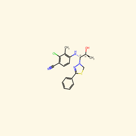 Cc1c(N[C@H]([C@H](C)O)N2CSC(c3ccccc3)=N2)ccc(C#N)c1Cl